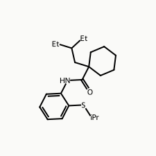 CCC(CC)CC1(C(=O)Nc2ccccc2SC(C)C)CCCCC1